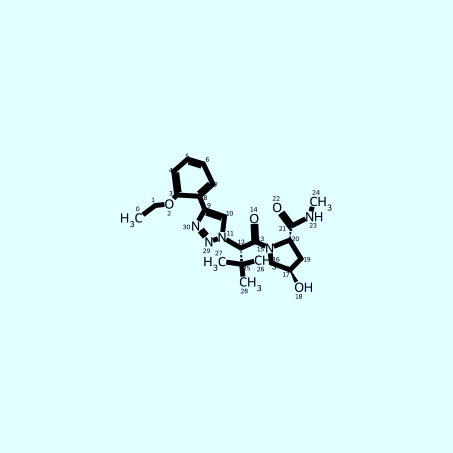 CCOc1ccccc1-c1cn([C@H](C(=O)N2C[C@H](O)C[C@H]2C(=O)NC)C(C)(C)C)nn1